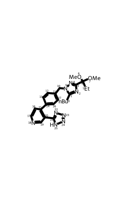 CCCCc1nc(C(CC)(OC)OC)nn1Cc1ccc(-c2ccncc2-c2nnn[nH]2)cc1